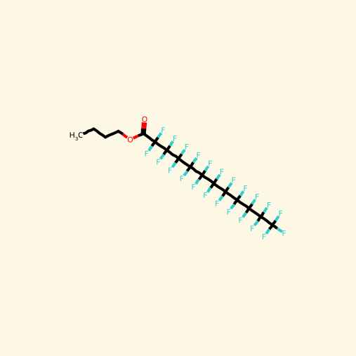 CCCCOC(=O)C(F)(F)C(F)(F)C(F)(F)C(F)(F)C(F)(F)C(F)(F)C(F)(F)C(F)(F)C(F)(F)C(F)(F)C(F)(F)F